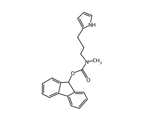 CN(CCCc1ccc[nH]1)C(=O)OC1c2ccccc2-c2ccccc21